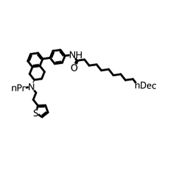 CCCCCCCCCCCCCCCCCCCC(=O)Nc1ccc(-c2cccc3c2CC[C@H](N(CCC)CCc2cccs2)C3)cc1